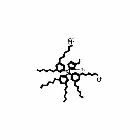 CCCCCCc1cc(CCCCCC)cc([Si](C2=[C]([Ti+3])C(CC)=CC2)(c2cc(CCCCCC)cc(CCCCCC)c2)c2cc(CCCCCC)cc(CCCCCC)c2)c1.[Cl-].[Cl-].[Cl-]